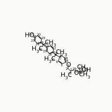 CC(COc1ccc(C(C)(C)c2ccc(C(C)(C)c3ccc(O)cc3)cc2)cc1)COC(C)(C)O